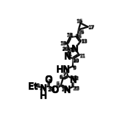 CCNC(=O)Oc1cc(NCc2cn3cc(C4CC4)ccc3n2)ncn1